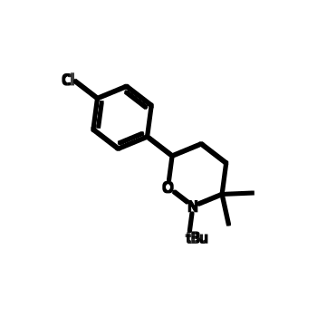 CC(C)(C)N1OC(c2ccc(Cl)cc2)CCC1(C)C